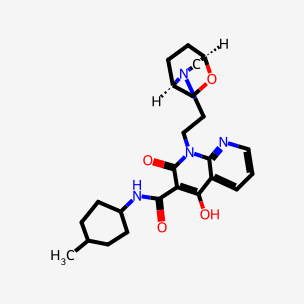 CC1CCC(NC(=O)c2c(O)c3cccnc3n(CCN3C[C@H]4CC[C@@H]3CO4)c2=O)CC1